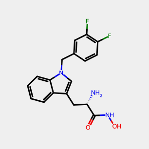 N[C@@H](Cc1cn(Cc2ccc(F)c(F)c2)c2ccccc12)C(=O)NO